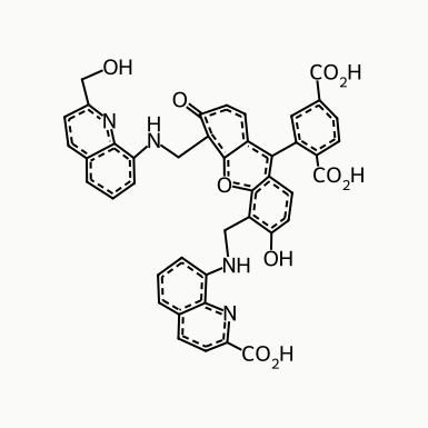 O=C(O)c1ccc(C(=O)O)c(-c2c3ccc(=O)c(CNc4cccc5ccc(CO)nc45)c-3oc3c(CNc4cccc5ccc(C(=O)O)nc45)c(O)ccc23)c1